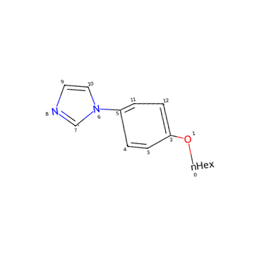 CCCCCCOc1ccc(-n2[c]ncc2)cc1